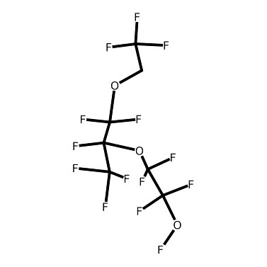 FOC(F)(F)C(F)(F)OC(F)(C(F)(F)F)C(F)(F)OCC(F)(F)F